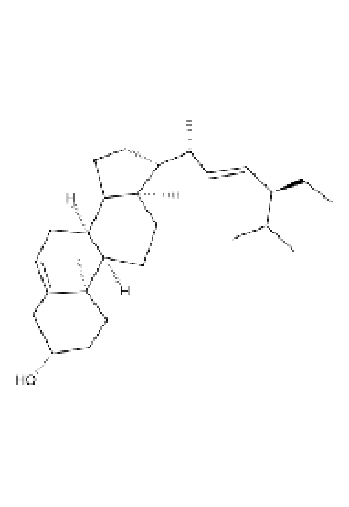 CC[C@H](/C=C/[C@@H](C)[C@H]1CCC2[C@@H]3CC=C4C[C@@H](O)CC[C@]4(C)[C@@H]3CC[C@@]21C)C(C)C